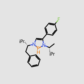 CC(C)[C@@H](Cc1ccccc1)N1C=C(c2ccc(F)cc2)N([C@H](C)C(C)C)P1